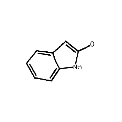 [O]c1cc2ccccc2[nH]1